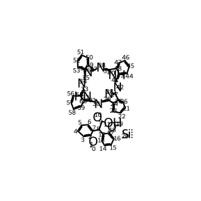 COc1ccccc1C(C(=O)O)c1ccccc1OC.[Si].c1ccc2c(c1)-c1nc-2nc2[nH]c(nc3nc(nc4[nH]c(n1)c1ccccc41)-c1ccccc1-3)c1ccccc21